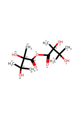 CC(C)(O)C(C)(O)C(=O)OC(=O)C(C)(O)C(C)(C)O